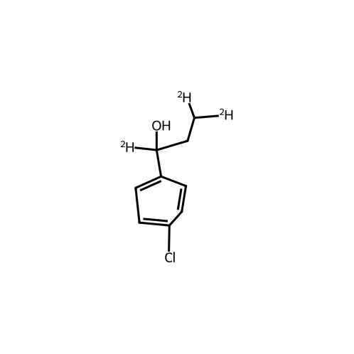 [2H]C([2H])CC([2H])(O)c1ccc(Cl)cc1